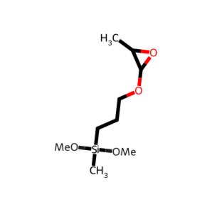 CO[Si](C)(CCCOC1OC1C)OC